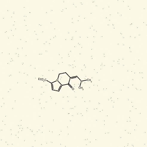 CCOC(=O)c1ccc2n1CCC(=CN(C)C)C2=O